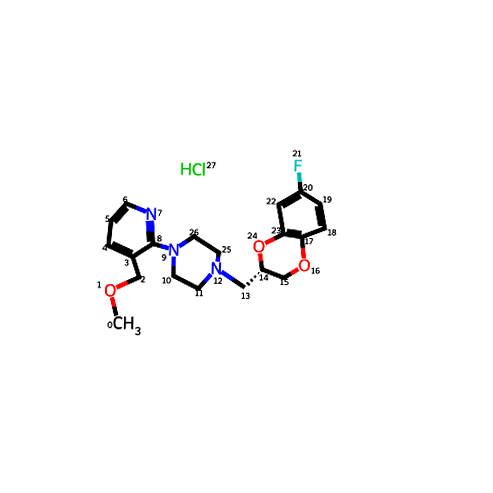 COCc1cccnc1N1CCN(C[C@H]2COc3ccc(F)cc3O2)CC1.Cl